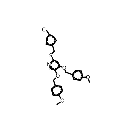 COc1ccc(COc2cc(SCc3ccc(Cl)cc3)nnc2OCc2ccc(OC)cc2)cc1